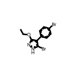 CCOc1n[nH]c(Br)c1-c1ccc(Br)cc1